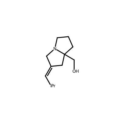 CC(C)/C=C1/CN2CCCC2(CO)C1